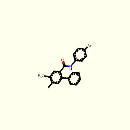 CC(=O)c1ccc(NC(=O)c2cc(C(F)(F)F)c(C)cc2-c2ccccc2)cc1